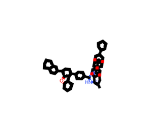 C/C1=C(/c2ccc(-c3ccc(-c4ccccc4)cc3)cc2)NC(c2ccc(-c3ccc(-c4ccc5ccccc5c4)c4oc5ccccc5c34)cc2)/N=C(/c2ccccc2)CC1